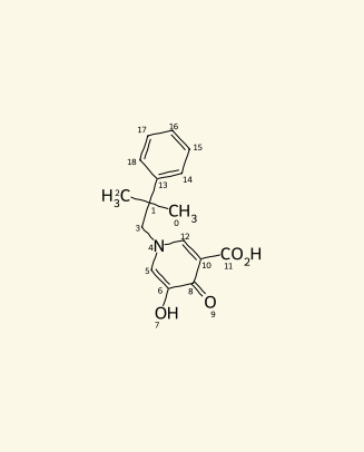 CC(C)(Cn1cc(O)c(=O)c(C(=O)O)c1)c1ccccc1